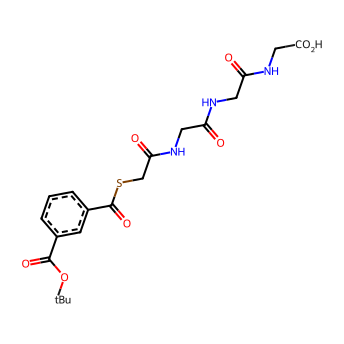 CC(C)(C)OC(=O)c1cccc(C(=O)SCC(=O)NCC(=O)NCC(=O)NCC(=O)O)c1